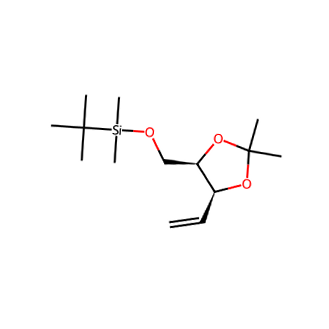 C=C[C@@H]1OC(C)(C)O[C@@H]1CO[Si](C)(C)C(C)(C)C